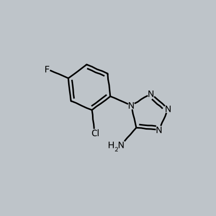 Nc1nnnn1-c1ccc(F)cc1Cl